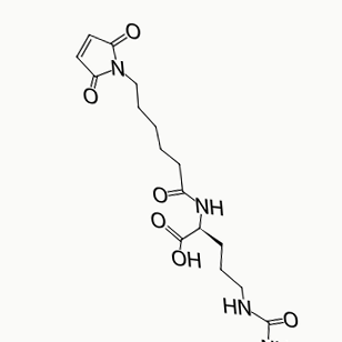 NC(=O)NCCC[C@H](NC(=O)CCCCCN1C(=O)C=CC1=O)C(=O)O